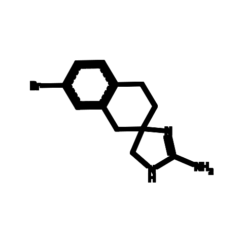 NC1=NC2(CCc3ccc(Br)cc3C2)CN1